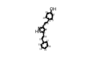 Oc1ccc(/C=C/c2cc(/C=C/c3ccccc3)[nH]n2)cc1